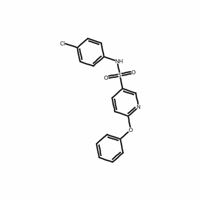 O=S(=O)(Nc1ccc(Cl)cc1)c1ccc(Oc2ccccc2)nc1